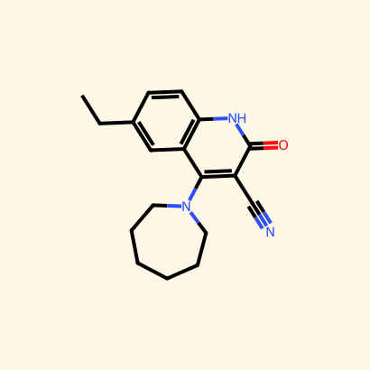 CCc1ccc2[nH]c(=O)c(C#N)c(N3CCCCCC3)c2c1